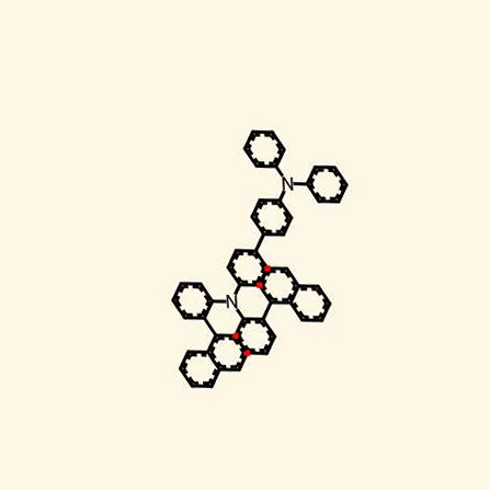 c1ccc(N(c2ccccc2)c2ccc(-c3ccc(N(c4ccccc4-c4cccc5ccccc45)c4ccccc4-c4cccc5ccccc45)cc3)cc2)cc1